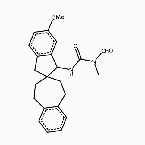 COc1ccc2c(c1)C(NC(=O)N(C)C=O)C1(CCc3ccccc3CC1)C2